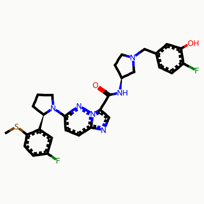 CSc1ccc(F)cc1[C@H]1CCCN1c1ccc2ncc(C(=O)N[C@H]3CCN(Cc4ccc(F)c(O)c4)C3)n2n1